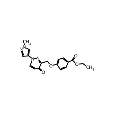 CCOC(=O)c1ccc(OCc2nn(-c3cnn(C)c3)ccc2=O)cc1